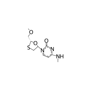 CNc1ccn(C2CS[C@H](COC)O2)c(=O)n1